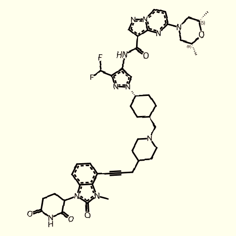 C[C@@H]1CN(c2ccn3ncc(C(=O)Nc4cn([C@H]5CC[C@H](CN6CCC(CC#Cc7cccc8c7n(C)c(=O)n8C7CCC(=O)NC7=O)CC6)CC5)nc4C(F)F)c3n2)C[C@H](C)O1